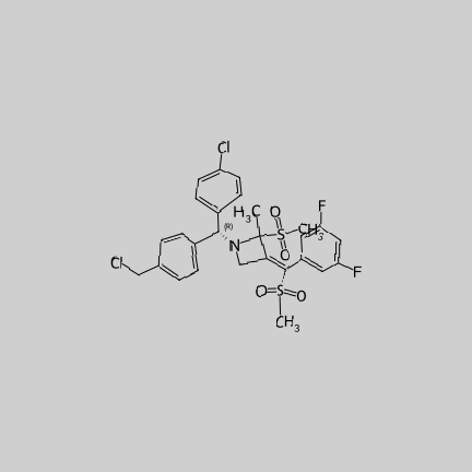 CC1(S(C)(=O)=O)C(=C(c2cc(F)cc(F)c2)S(C)(=O)=O)CN1[C@@H](c1ccc(Cl)cc1)c1ccc(CCl)cc1